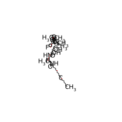 CCCCCCCCC=CCCCCCCCC(=O)NCCN(C)CCNC(=O)C[C@H](O)C[C@H](O)C=Cc1c(-c2ccc(F)cc2)nc(N(C)S(C)(=O)=O)nc1C(C)C